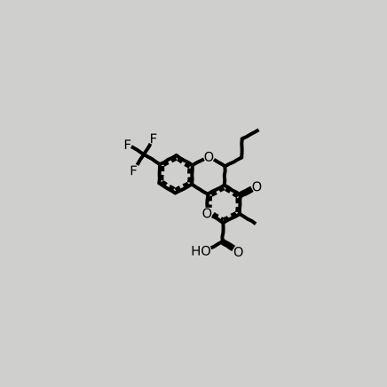 CCCC1Oc2cc(C(F)(F)F)ccc2-c2oc(C(=O)O)c(C)c(=O)c21